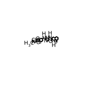 CN(C)CC1COc2cc(Nc3nccc(Nc4cc5cccc(F)c5[nH]c4=O)n3)ccc2O1